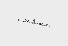 CCOCOCCCNCCCOCOCC